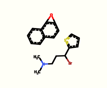 CN(C)CCC(Br)c1cccs1.c1ccc2c3c(ccc2c1)O3